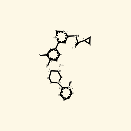 Cc1cc(-c2cc(NC(=O)C3CC3)ncn2)ccc1O[C@H]1CCN(c2cccc[n+]2C)C[C@H]1F